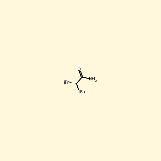 CC(C)[C@H](C(N)=O)C(C)(C)C